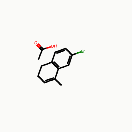 CC(=O)O.CC1=CCCc2ccc(Br)cc21